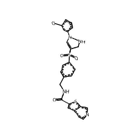 O=C(NCc1ccc(S(=O)(=O)C2=CN(c3cccc(Cl)c3)NC2)cc1)c1cc2ccncc2s1